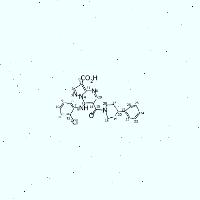 O=C(O)c1cnn2c(Nc3ccccc3Cl)c(C(=O)N3CCC(c4ccccc4)CC3)cnc12